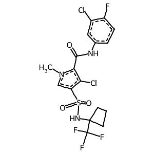 Cn1cc(S(=O)(=O)NC2(C(F)(F)F)CCC2)c(Cl)c1C(=O)Nc1ccc(F)c(Cl)c1